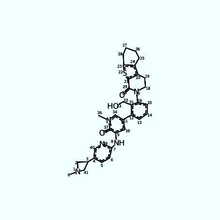 CN1CC(c2ccc(Nc3cc(-c4cccc(N5CCc6c(sc7c6CCCC7)C5=O)c4CO)cn(C)c3=O)nc2)C1